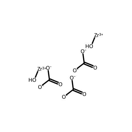 O=C([O-])[O-].O=C([O-])[O-].O=C([O-])[O-].[OH][Zr+3].[OH][Zr+3]